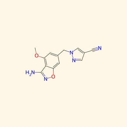 COc1cc(Cn2cc(C#N)cn2)cc2onc(N)c12